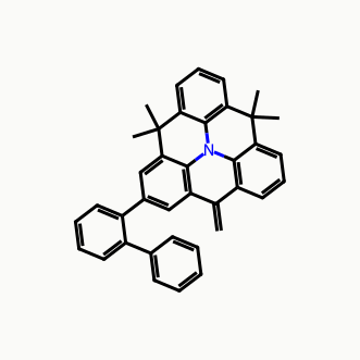 C=C1c2cccc3c2N2c4c1cc(-c1ccccc1-c1ccccc1)cc4C(C)(C)c1cccc(c12)C3(C)C